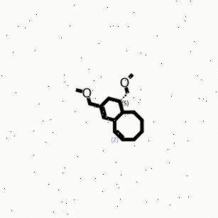 COCC1=CC2/C=C\CCCCC2[C@@H](COC)C1